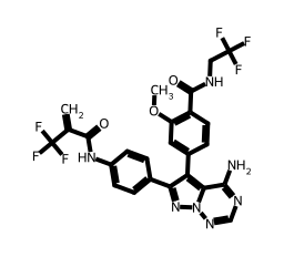 C=C(C(=O)Nc1ccc(-c2nn3ncnc(N)c3c2-c2ccc(C(=O)NCC(F)(F)F)c(OC)c2)cc1)C(F)(F)F